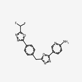 Nc1ccc(-c2nnc(Cc3ccc(-c4nnc(C(F)F)o4)cc3)o2)cn1